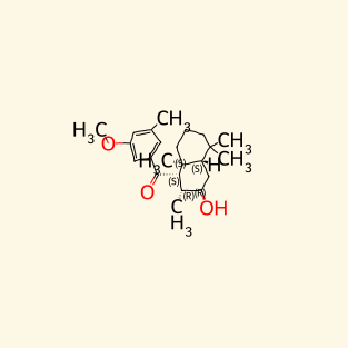 COc1cc(C)cc(C(=O)[C@H]2[C@@H](C)[C@H](O)C[C@H]3C(C)(C)CCC[C@]23C)c1